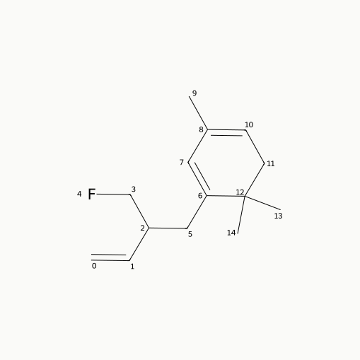 C=CC(CF)CC1=CC(C)=CCC1(C)C